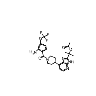 CC(=O)OC(C)(C)c1nc2c(C3CCN(C(=O)c4ccc(OC(F)(F)F)cc4N)CC3)ccnc2[nH]1